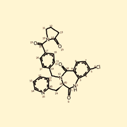 O=C1Nc2cc(Cl)ccc2C(=O)N(Cc2ccc(C(=O)N3CCCC3=O)cc2)[C@@H]1Cc1ccccn1